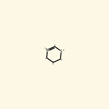 [C]1CN=CSC1